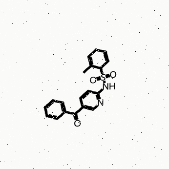 CC1=CCC=CC1S(=O)(=O)Nc1ccc(C(=O)c2ccccc2)cn1